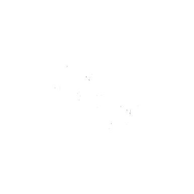 CN(C)OC(=O)COc1nc(Cl)c(Cl)s1